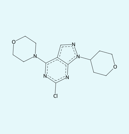 Clc1nc(N2CCOCC2)c2cnn(C3CCOCC3)c2n1